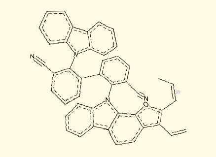 C=Cc1c(/C=C\C)oc2c1ccc1c3ccccc3n(-c3c(C#N)cccc3-c3cccc(C#N)c3-n3c4ccccc4c4ccccc43)c12